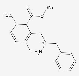 Cc1ccc(S(=O)(=O)O)c(C(=O)OC(C)(C)C)c1C[C@@H](N)Cc1ccccc1